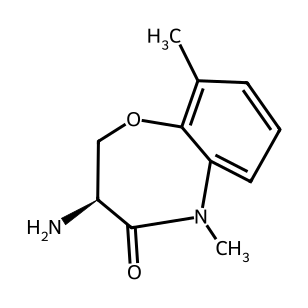 Cc1cccc2c1OC[C@H](N)C(=O)N2C